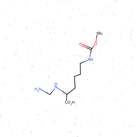 CC(C)(C)OC(=O)NCCCCC(NCN)C(=O)O